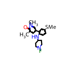 CSc1ccc(NC2CCN(F)CC2)c(-c2cc(C)c(=O)n(C)c2)c1